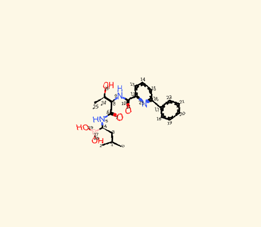 CC(C)C[C@H](NC(=O)C(NC(=O)c1cccc(-c2ccccc2)n1)[C@@H](C)O)B(O)O